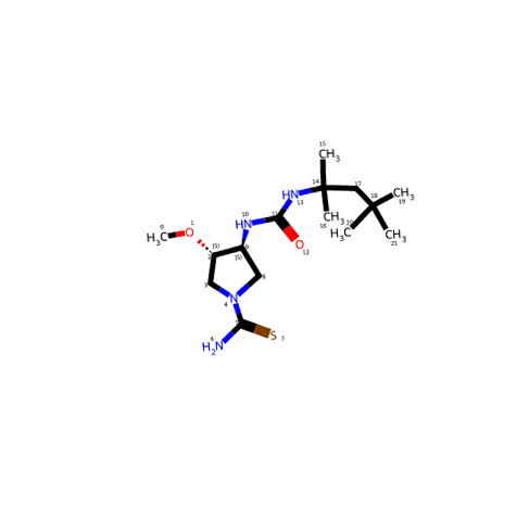 CO[C@H]1CN(C(N)=S)C[C@@H]1NC(=O)NC(C)(C)CC(C)(C)C